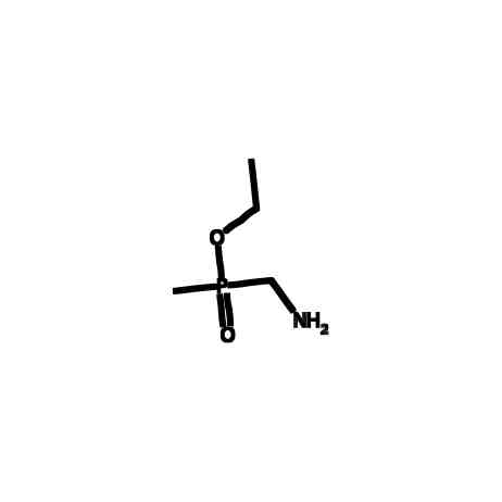 CCOP(C)(=O)CN